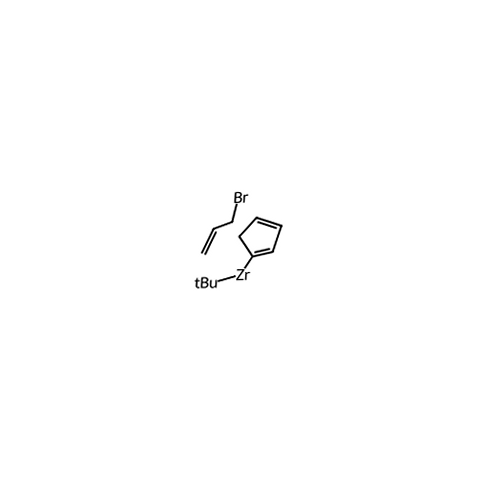 C=CCBr.C[C](C)(C)[Zr][C]1=CC=CC1